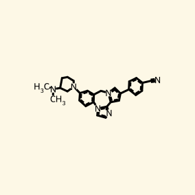 CN(C)C1CCCN(c2ccc3c(c2)Cn2cc(-c4ccc(C#N)cc4)cc2-c2nccn2-3)C1